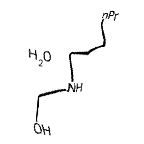 CCCCCNCO.O